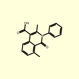 Cc1cccc2c(C(=O)O)c(C)n(-c3ccccc3)c(=O)c12